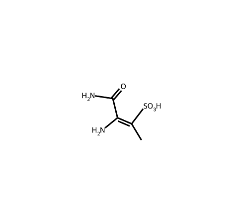 C/C(=C(\N)C(N)=O)S(=O)(=O)O